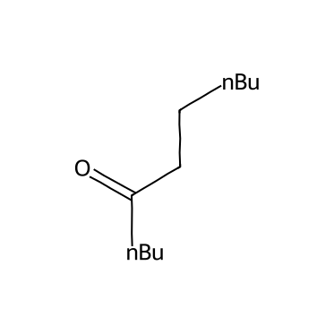 [CH2]CCCC(=O)CCCCCC